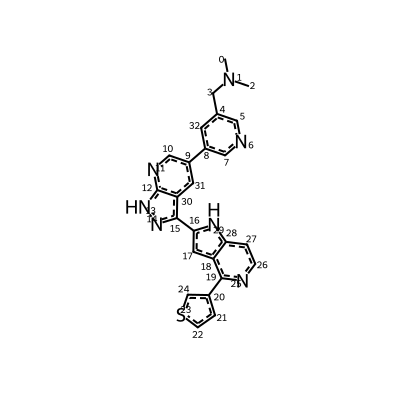 CN(C)Cc1cncc(-c2cnc3[nH]nc(-c4cc5c(-c6ccsc6)nccc5[nH]4)c3c2)c1